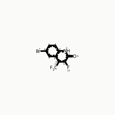 O=c1[nH]c2ccc(Br)cc2c(C(F)(F)F)c1F